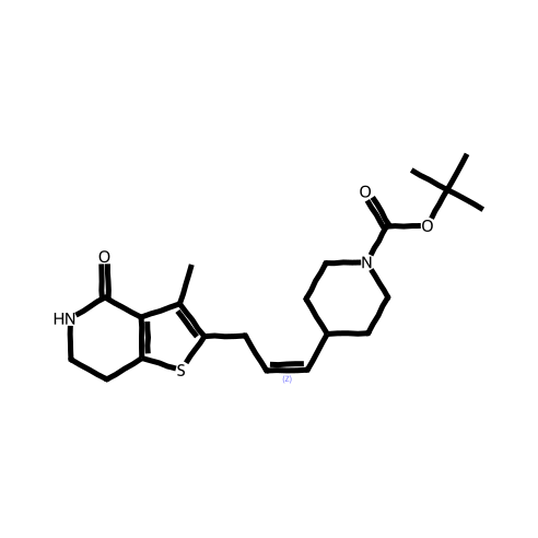 Cc1c(C/C=C\C2CCN(C(=O)OC(C)(C)C)CC2)sc2c1C(=O)NCC2